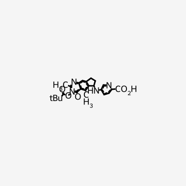 Cc1c2c(cc3nc(C)n(OC(=O)C(C)(C)C)c(=O)c13)CCC2Nc1ccc(C(=O)O)nc1